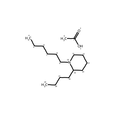 CC(=O)O.CCCCCCN1CCCCC1CCCC